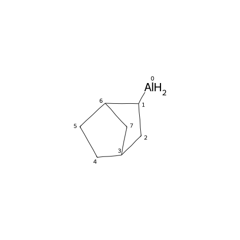 [AlH2][CH]1CC2CCC1C2